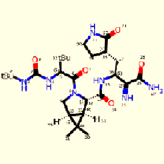 CC(C)(C)NC(=O)N[C@H](C(=O)N1C[C@H]2[C@@H]([C@H]1C(=O)N[C@@H](C[C@@H]1CCNC1=O)C(=N)C(N)=O)C2(C)C)C(C)(C)C